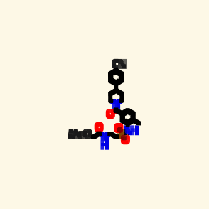 COCC(=O)NCCS(=O)(=O)Nc1cc(C(=O)N2CCC(c3ccc(C#N)cc3)CC2)ccc1C